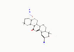 CC1(C)CC[C@]2(C(=O)N=[N+]=[N-])CC[C@]3(C)[C@H](C(=O)C=C4[C@@]5(C)C=C(C#N)C(=O)C(C)(C)C5CC[C@]43C)[C@@H]2C1